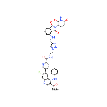 CNC(=O)c1cnc2cc(F)c(-c3ccc(C(=O)NCCn4cc(CNc5cccc6c5C(=O)N(C5CCC(=O)NC5=O)C6=O)nn4)nc3)cc2c1Nc1ccccc1